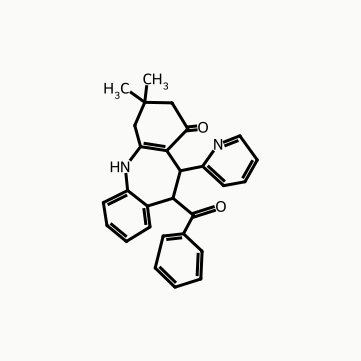 CC1(C)CC(=O)C2=C(C1)Nc1ccccc1C(C(=O)c1ccccc1)C2c1ccccn1